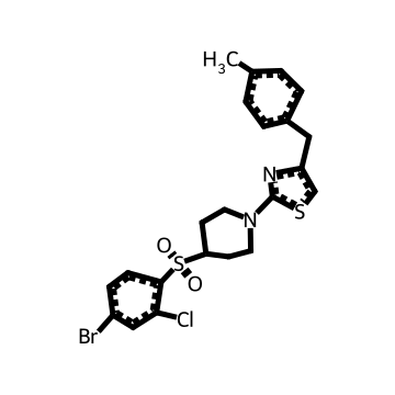 Cc1ccc(Cc2csc(N3CCC(S(=O)(=O)c4ccc(Br)cc4Cl)CC3)n2)cc1